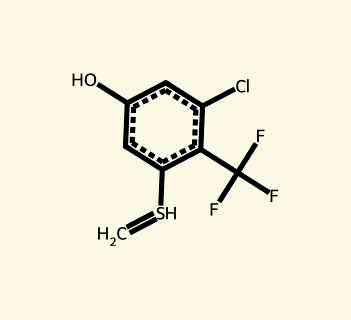 C=[SH]c1cc(O)cc(Cl)c1C(F)(F)F